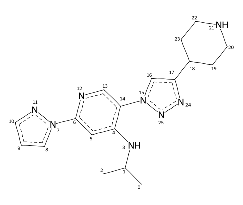 CC(C)Nc1cc(-n2cccn2)ncc1-n1cc(C2CCNCC2)nn1